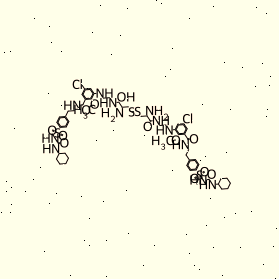 COc1c(NCCNC(=O)C(N)CSSCC(N)C(O)NCCNc2cc(Cl)cc(C(=O)NCCc3ccc(S(=O)(=O)NC(=O)NC4CCCCC4)cc3)c2OC)cc(Cl)cc1C(=O)NCCc1ccc(S(=O)(=O)NC(=O)NC2CCCCC2)cc1